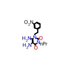 CCCn1c(=O)c(N)c(N)n(CCc2cccc([N+](=O)[O-])c2)c1=O